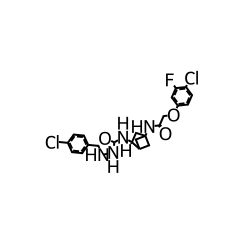 O=C(COc1ccc(Cl)c(F)c1)NC12CC(C1)[C@@H](NC1NNC(c3ccc(Cl)cc3)O1)C2